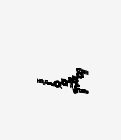 CCOc1ncc(-c2cc(N(C)CC3(COC)CCC3)c3[nH]c(-c4cnc(N5CCN(CCCC(=O)O)C[C@H]5C)cn4)nc3n2)cc1C(F)(F)F